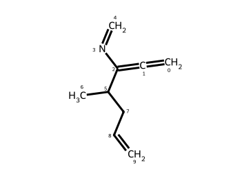 C=C=C(N=C)C(C)CC=C